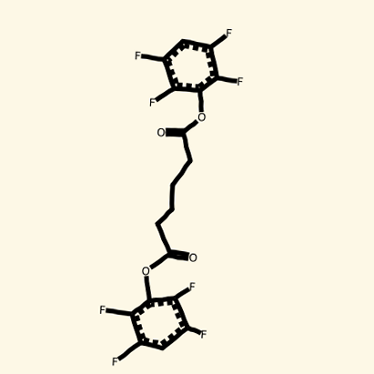 O=C(CCCCC(=O)Oc1c(F)c(F)cc(F)c1F)Oc1c(F)c(F)cc(F)c1F